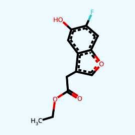 CCOC(=O)Cc1coc2cc(F)c(O)cc12